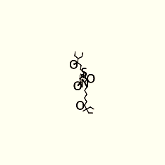 CCC(CC)C(=O)CCS[C@@H]1CC(=O)N(CCCCCC(=O)C(C)(CC)CC)C1=O